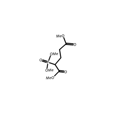 COC(=O)CCC(C(=O)OC)P(=O)(OC)OC